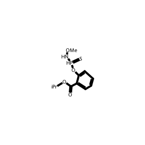 CON[PH](=S)Oc1ccccc1C(=O)OC(C)C